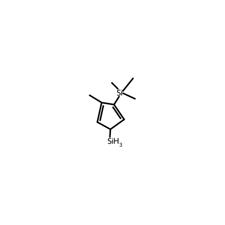 CC1=CC([SiH3])C=C1[Si](C)(C)C